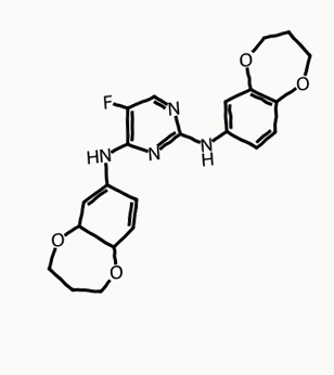 Fc1cnc(Nc2ccc3c(c2)OCCCO3)nc1NC1=CC2OCCCOC2C=C1